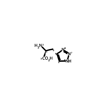 C[C@H](N)C(=O)O.c1c[nH]nn1